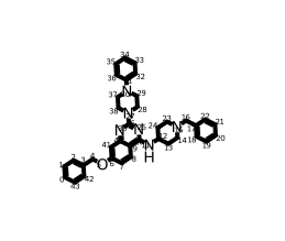 c1ccc(COc2ccc3c(NC4CCN(Cc5ccccc5)CC4)nc(N4CCN(c5ccccc5)CC4)nc3c2)cc1